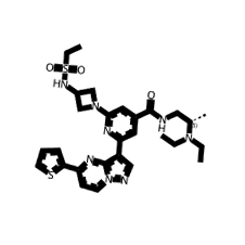 CCN(CC)[C@@H](C)CNC(=O)c1cc(-c2cnn3ccc(-c4cccs4)nc23)nc(N2CC(NS(=O)(=O)CC)C2)c1